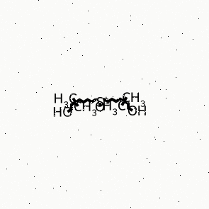 CC(C)(CCO)CCCCC[S+]([O-])CCCCCC(C)(C)CCO